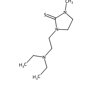 CCN(CC)CCN1CCN(C)C1=S